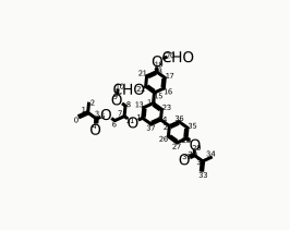 C=C(C)C(=O)OCC(COC=O)Oc1cc(-c2ccc(OC=O)cc2)cc(-c2ccc(OC(=O)C(=C)C)cc2)c1